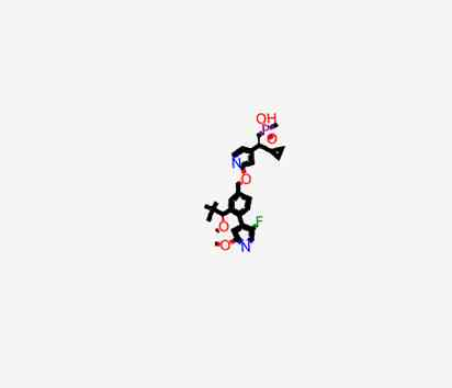 COc1cc(-c2ccc(COc3cc([C@@H](CP(C)(=O)O)C4CC4)ccn3)cc2[C@@H](OC)C(C)(C)C)c(F)cn1